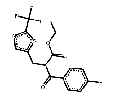 CCOC(=O)C(Cc1cnc(C(F)(F)F)s1)C(=O)c1ccc(F)cc1